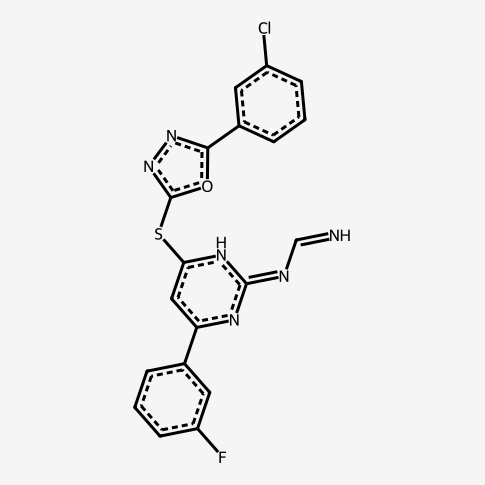 N=C/N=c1/nc(-c2cccc(F)c2)cc(Sc2nnc(-c3cccc(Cl)c3)o2)[nH]1